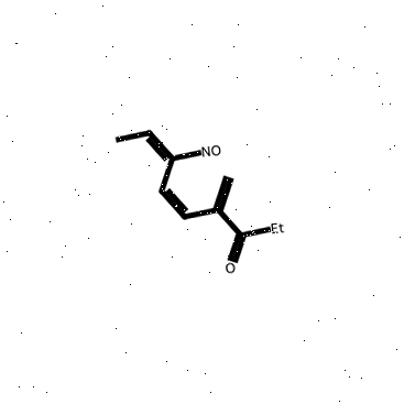 C=C(/C=C\C(=C/C)N=O)C(=O)CC